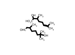 CC(C)=CCCC(C)C(O)C(=O)O.CC(CC=O)CCCC(C)(C)O